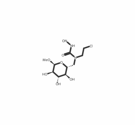 CO[C@H]1O[C@H](CN(CCCl)C(=O)NN=O)[C@@H](O)[C@H](O)[C@H]1O